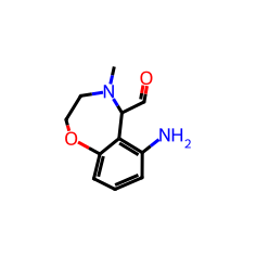 CN1CCOc2cccc(N)c2C1C=O